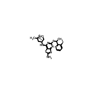 CC(C)CC(CO)Nc1nc(SC(C)c2ncccc2F)nc2nc(N)sc12